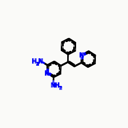 Nc1cc(C(=Cc2ccccn2)c2ccccc2)cc(N)n1